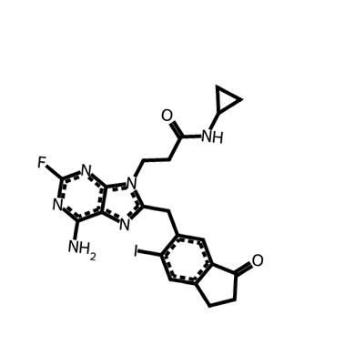 Nc1nc(F)nc2c1nc(Cc1cc3c(cc1I)CCC3=O)n2CCC(=O)NC1CC1